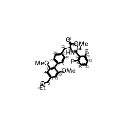 CCOCc1cc(OC)c(-c2ccc(C[C@H](NC(=O)c3c(F)cccc3F)C(=O)OC)cc2)c(OC)c1